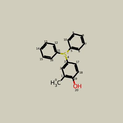 Cc1cc([S+](c2ccccc2)c2ccccc2)ccc1O